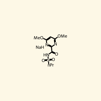 CCCS(=O)(=O)NC(=O)c1nc(OC)cc(OC)n1.[NaH]